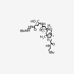 CC(C)(C)CCNC(=O)CC[C@@H](COCO)NC(C)(C)CCC(C)(C)CC(=O)NC(CCC(=O)NCCNC(C)(C)C)C(=O)O